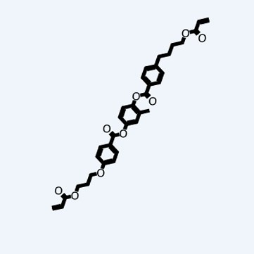 C=CC(=O)OCCCCc1ccc(C(=O)Oc2ccc(OC(=O)c3ccc(OCCCOC(=O)C=C)cc3)cc2C)cc1